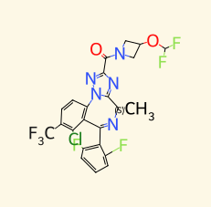 C[C@@H]1N=C(c2c(F)cccc2F)c2c(ccc(C(F)(F)F)c2Cl)-n2nc(C(=O)N3CC(OC(F)F)C3)nc21